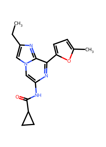 CCc1cn2cc(NC(=O)C3CC3)nc(-c3ccc(C)o3)c2n1